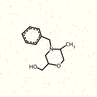 CC1COC(CO)CN1Cc1ccccc1